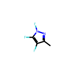 Cc1nn(F)c(F)c1F